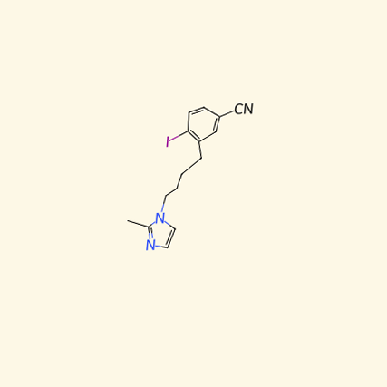 Cc1nccn1CCCCc1cc(C#N)ccc1I